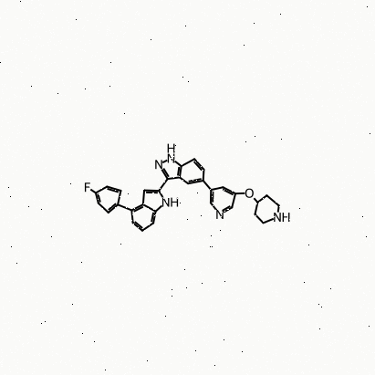 Fc1ccc(-c2cccc3[nH]c(-c4n[nH]c5ccc(-c6cncc(OC7CCNCC7)c6)cc45)cc23)cc1